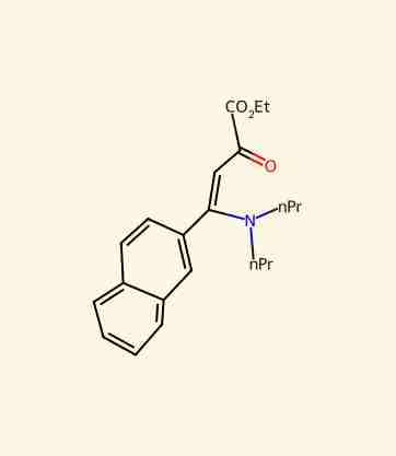 CCCN(CCC)/C(=C\C(=O)C(=O)OCC)c1ccc2ccccc2c1